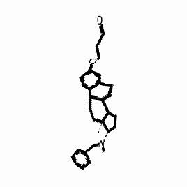 CN(Cc1ccccc1)[C@H]1CCC2C3CCc4cc(OCCC=O)ccc4C3CC[C@@]21C